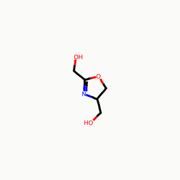 OCC1=NC(CO)CO1